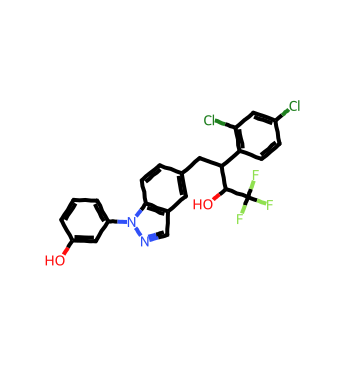 Oc1cccc(-n2ncc3cc(CC(c4ccc(Cl)cc4Cl)C(O)C(F)(F)F)ccc32)c1